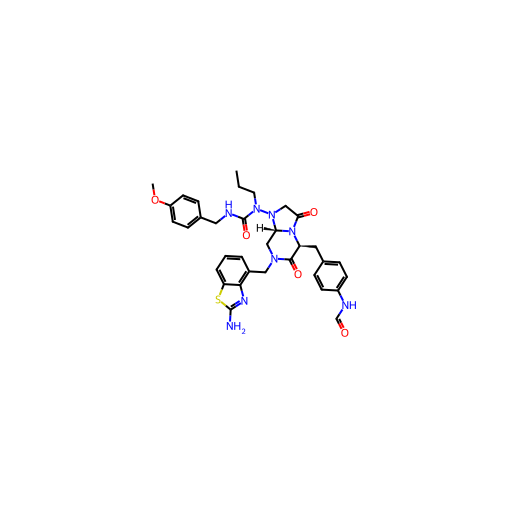 CCCN(C(=O)NCc1ccc(OC)cc1)N1CC(=O)N2[C@@H](Cc3ccc(NC=O)cc3)C(=O)N(Cc3cccc4sc(N)nc34)C[C@@H]21